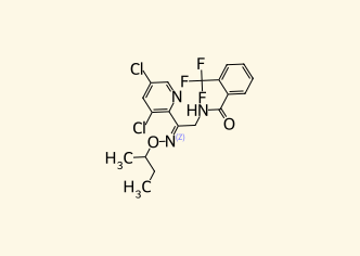 CCC(C)O/N=C(/CNC(=O)c1ccccc1C(F)(F)F)c1ncc(Cl)cc1Cl